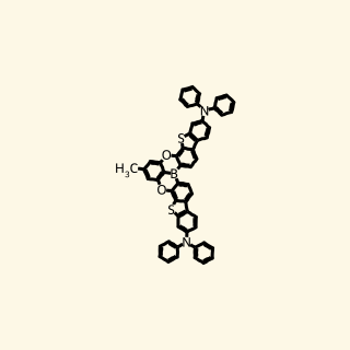 Cc1cc2c3c(c1)Oc1c(ccc4c1sc1cc(N(c5ccccc5)c5ccccc5)ccc14)B3c1ccc3c(sc4cc(N(c5ccccc5)c5ccccc5)ccc43)c1O2